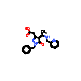 CC(NCc1ccccn1)=C1C(=O)N(Cc2ccccc2)N=C1CC(=O)O